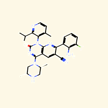 Cc1ccnc(C(C)C)c1-n1c(=O)nc(N2C[C@@H](C)NC[C@@H]2C)c2cc(C#N)c(-c3cccc(F)c3N)nc21